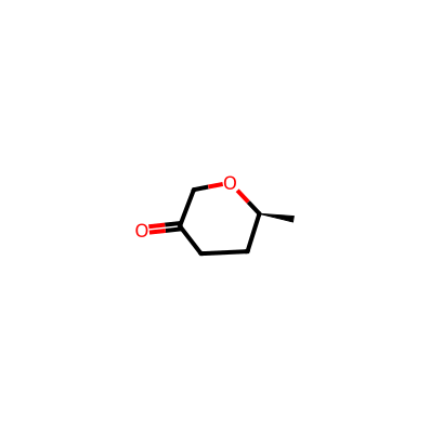 C[C@H]1CCC(=O)CO1